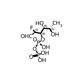 C[C@H](O)[C@@H](O)[C@@H](OP(=O)(O)OP(=O)(O)O)[C@H](F)C=O